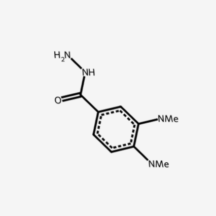 CNc1ccc(C(=O)NN)cc1NC